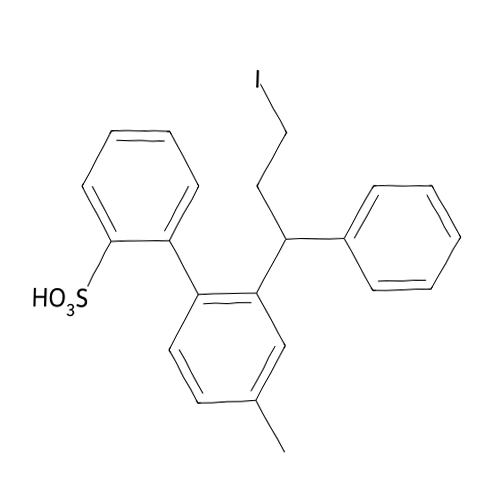 Cc1ccc(-c2ccccc2S(=O)(=O)O)c(C(CCI)c2ccccc2)c1